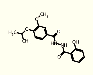 COc1cc(C(=O)NNC(=O)c2ccccc2O)ccc1OC(C)C